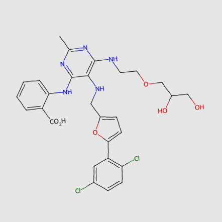 Cc1nc(NCCOCC(O)CO)c(NCc2ccc(-c3cc(Cl)ccc3Cl)o2)c(Nc2ccccc2C(=O)O)n1